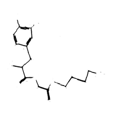 CCCCCCCCCCCCCCOC(=O)COC(=O)C(N)Cc1ccc(O)c(O)c1.Cl